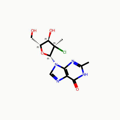 Cc1nc2c(ncn2[C@@H]2O[C@H](CO)[C@@H](O)[C@@]2(C)Cl)c(=O)[nH]1